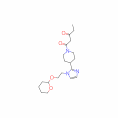 CCC(=O)CC(=O)N1CCC(c2nccn2CCOC2CCCCO2)CC1